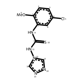 COc1ccc(Cl)cc1NC(=S)Nn1cnnc1